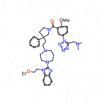 CCOCCn1c(N2CCCN(CCC3(c4ccccc4)CCN(C(=O)c4cc(-n5nnnc5CN(C)C)ccc4OC)C3)CC2)nc2ccccc21